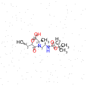 C#CCCC(=O)N(CCNC(=O)OC(C)(C)C)[C@@H](C)C(=O)O